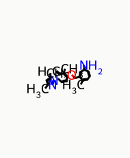 C=C/C(C)=C(\C=C/Cn1nc(C)cc1C)OCC1=CC(N)C=CC=C1C